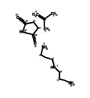 C=C(C)C.NCCNCCN.O=C1CCC(=O)N1